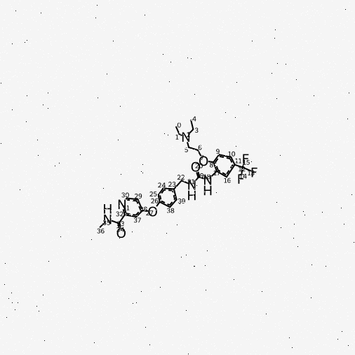 CCN(CC)CCOc1ccc(C(F)(F)F)cc1NC(=O)NCc1ccc(Oc2ccnc(C(=O)NC)c2)cc1